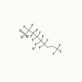 O=S(=O)([O-])C(F)(F)C(F)(F)C(F)(F)C(F)(F)C(F)(F)CCC(F)(F)F.[K+]